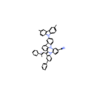 C/C(=C\c1c(C)n(-c2ccc(C#N)cc2-n2c3ccccc3c3cc(-n4c5ccc(C)cc5c5cc(C)ccc54)ccc32)c2ccc(-c3ccccc3)cc12)c1ccccc1